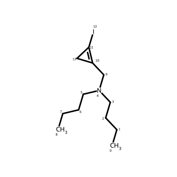 CCCCN(CCCC)CC1=C(I)C1